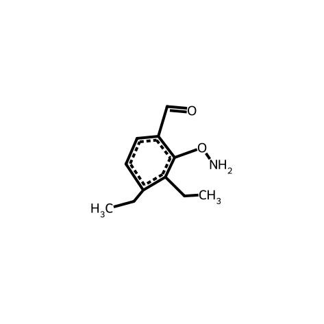 CCc1ccc(C=O)c(ON)c1CC